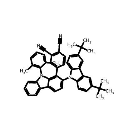 Cc1cccc(C)c1-n1c2ccccc2c2ccc(-n3c4ccc(C(C)(C)C)cc4c4cc(C(C)(C)C)ccc43)c(-c3ccc(C#N)c(C#N)c3)c21